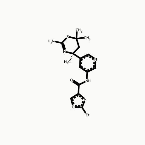 CCc1nc(C(=O)Nc2cncc([C@]3(C)CC(C)(C)SC(N)=N3)c2)co1